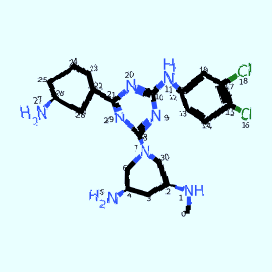 CN[C@H]1C[C@@H](N)CN(c2nc(Nc3ccc(Cl)c(Cl)c3)nc(C3CCC[C@H](N)C3)n2)C1